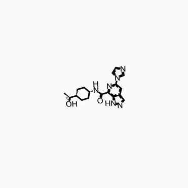 C[C@H](O)[C@H]1CC[C@H](NC(=O)c2nc(-n3ccnc3)cc3cn[nH]c23)CC1